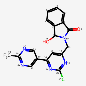 O=C1c2ccccc2C(O)N1Cc1cc(-c2cnc(C(F)(F)F)nc2)nc(Cl)n1